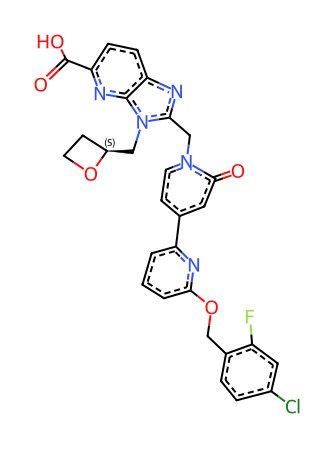 O=C(O)c1ccc2nc(Cn3ccc(-c4cccc(OCc5ccc(Cl)cc5F)n4)cc3=O)n(C[C@@H]3CCO3)c2n1